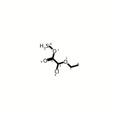 CCOC(Cl)C(=O)O[SiH3]